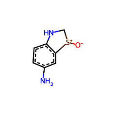 Nc1ccc2c(c1)[S+]([O-])CN2